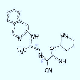 C/C(=C\N=C(\C#N)C(=N)OC1CCCNC1)Nc1cc2ccccc2cn1